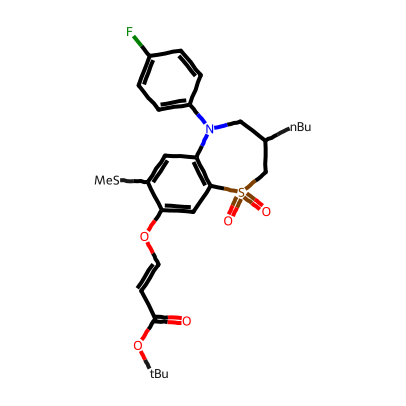 CCCCC1CN(c2ccc(F)cc2)c2cc(SC)c(O/C=C/C(=O)OC(C)(C)C)cc2S(=O)(=O)C1